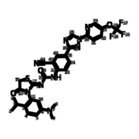 CC(C)c1ccc(N(C)C)cc1N1C(=O)CS/C1=N\C(=O)Nc1ccc(-c2ncn(-c3ccc(OC(F)(F)F)cn3)n2)cc1C#N